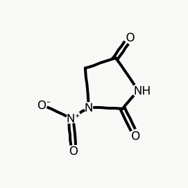 O=C1CN([N+](=O)[O-])C(=O)N1